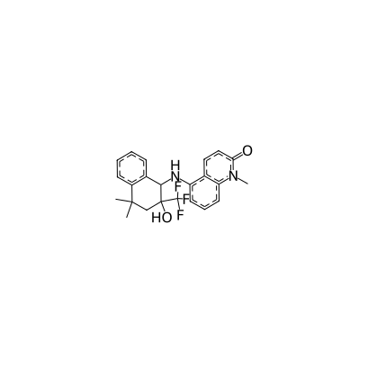 Cn1c(=O)ccc2c(NC3c4ccccc4C(C)(C)CC3(O)C(F)(F)F)cccc21